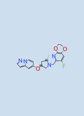 C[C@H]1C[C@@H](Oc2ccn3nccc3c2)CN1Cc1nc2c(cc1F)OCCO2